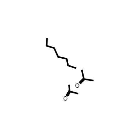 CC(C)=O.CC(C)=O.CCCCCCC